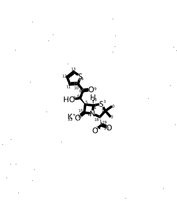 CC1(C)S[C@@H]2[C@H](C(O)C(=O)c3cccs3)C(=O)N2[C@H]1C(=O)[O-].[K+]